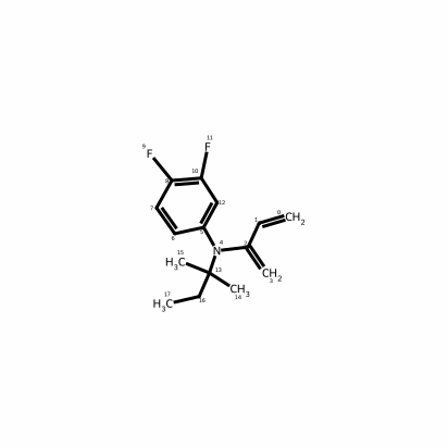 C=CC(=C)N(c1ccc(F)c(F)c1)C(C)(C)CC